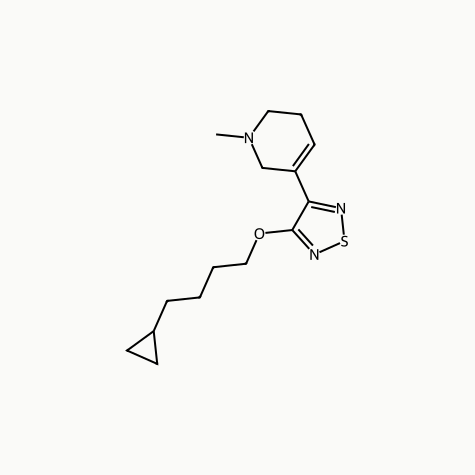 CN1CCC=C(c2nsnc2OCCCCC2CC2)C1